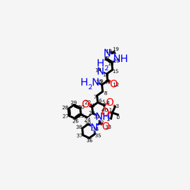 CC1(C)COC(C(CCC(N)C(=O)[C@@H](N)Cc2cnc[nH]2)C(=O)[C@H](Cc2ccccc2)NC(=O)N2CCCCC2)O1